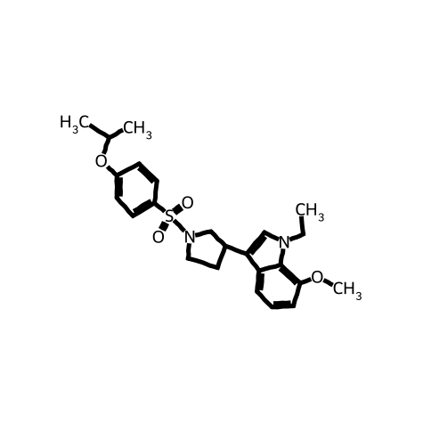 CCn1cc(C2CCN(S(=O)(=O)c3ccc(OC(C)C)cc3)C2)c2cccc(OC)c21